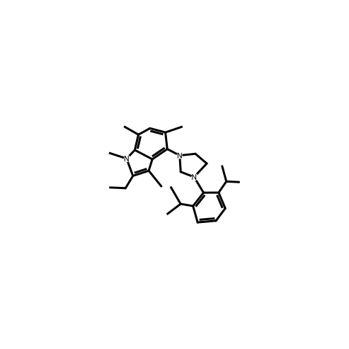 CCc1c(C)c2c(N3CCN(c4c(C(C)C)cccc4C(C)C)C3)c(C)cc(C)c2n1C